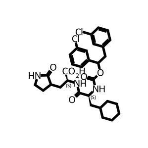 O=C(N[C@@H](CC1CCCCC1)C(=O)N[C@@H](CC1CCNC1=O)C(=O)O)OC(Cc1cccc(Cl)c1)c1cccc(Cl)c1